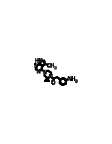 Cc1c[nH]c2ncnc(N3CCN(C(=O)Cc4cccc(N)c4)C4(CC4)C3)c12